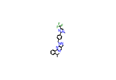 CC(C)c1ccccc1-c1ncc2cnn(Cc3ccc(-c4nc(C(F)(F)F)cn4C)cc3)c2n1